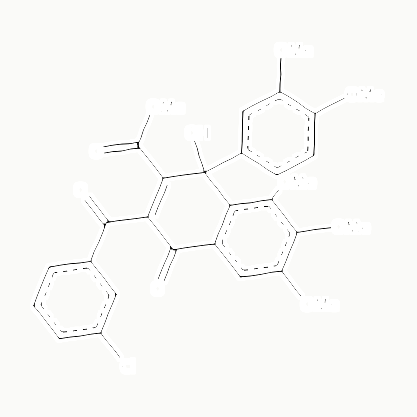 COC(=O)C1=C(C(=O)c2cccc(Cl)c2)C(=O)c2cc(OC)c(OC)c(OC)c2C1(O)c1ccc(OC)c(OC)c1